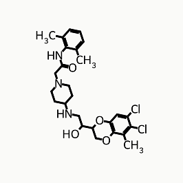 Cc1cccc(C)c1NC(=O)CN1CCC(NCC(O)C2COc3c(cc(Cl)c(Cl)c3C)O2)CC1